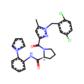 Cc1cc(C(=O)N2CCC[C@H]2C(=O)Nc2ccccc2-n2cccc2)nn1Cc1cc(Cl)ccc1Cl